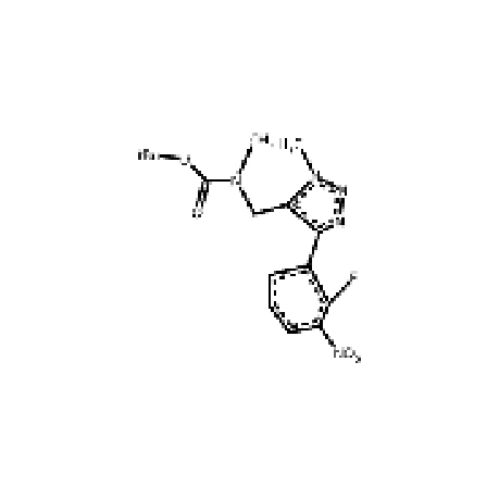 CN(Cc1c(-c2cccc([N+](=O)[O-])c2F)nnn1C)C(=O)OC(C)(C)C